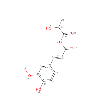 COc1cc(/C=C/C(=O)OC(=O)C(C)O)ccc1O